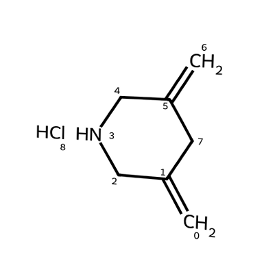 C=C1CNCC(=C)C1.Cl